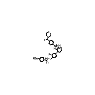 CC(C)(C)c1ccc(C(=O)NCc2ccc(-c3ccnc4[nH]c(-c5ccc(C(=O)N6CCOCC6)cc5)nc34)cc2F)cc1